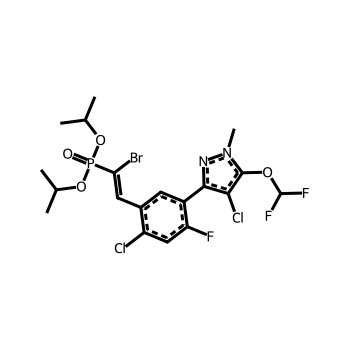 CC(C)OP(=O)(OC(C)C)C(Br)=Cc1cc(-c2nn(C)c(OC(F)F)c2Cl)c(F)cc1Cl